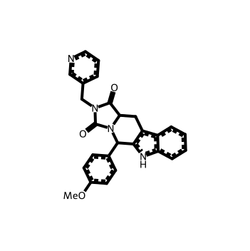 COc1ccc(C2c3[nH]c4ccccc4c3CC3C(=O)N(Cc4cccnc4)C(=O)N32)cc1